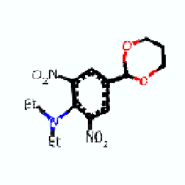 CCN(CC)c1c([N+](=O)[O-])cc(C2OCCCO2)cc1[N+](=O)[O-]